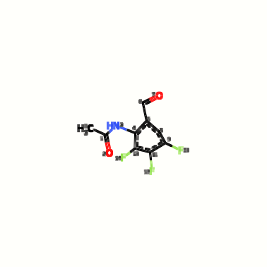 CC(=O)Nc1c(C=O)cc(F)c(F)c1F